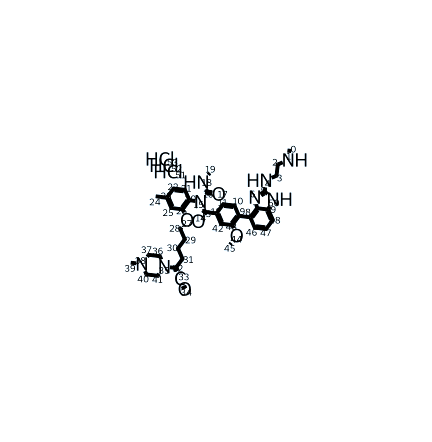 CNCCNc1nc2c(-c3ccc(C(=O)N(C(=O)NC)c4ccc(C)cc4OCCCCC(=C=O)N4CCN(C)CC4)cc3OC)cccc2[nH]1.Cl.Cl.Cl